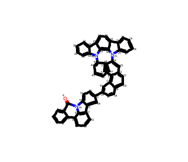 O=c1c2ccccc2c2cccc3c4cc(-c5ccc6ccc7cc(-n8c9ccccc9c9ccc%10c%11ccccc%11n(-c%11ccccc%11)c%10c98)ccc7c6c5)ccc4n1c23